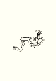 CCOC(=O)COc1cccc(Nc2ncc(F)c(Nc3cccc(NB4CO4)c3)n2)c1